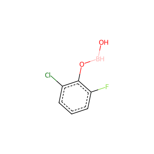 OBOc1c(F)cccc1Cl